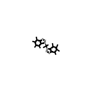 Cc1c(C)c(C)c2c(nnn2C(C)(C)n2nnc3c(C)c(C)c(C)c(C)c32)c1C